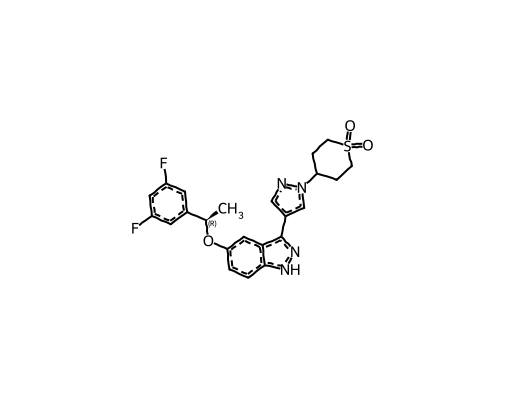 C[C@@H](Oc1ccc2[nH]nc(-c3cnn(C4CCS(=O)(=O)CC4)c3)c2c1)c1cc(F)cc(F)c1